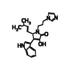 CC(C)/C=C/C1C(c2c[nH]c3ccccc23)=C(O)C(=O)N1CCCn1ccnc1